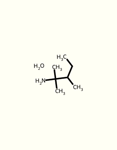 CCC(C)C(C)(C)N.O